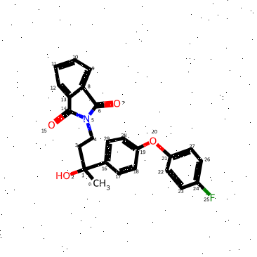 CC(O)(CCN1C(=O)c2ccccc2C1=O)c1ccc(Oc2ccc(F)cc2)cc1